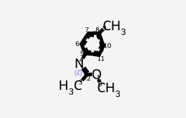 CO/C(C)=N\c1ccc(C)cc1